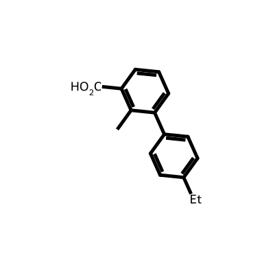 CCc1ccc(-c2cccc(C(=O)O)c2C)cc1